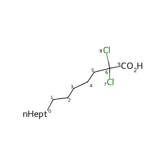 CCCCCCCCCCCCC(Cl)(Cl)C(=O)O